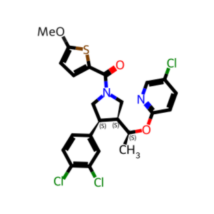 COc1ccc(C(=O)N2C[C@@H]([C@H](C)Oc3ccc(Cl)cn3)[C@@H](c3ccc(Cl)c(Cl)c3)C2)s1